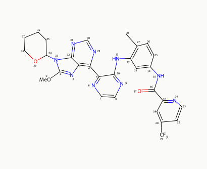 COc1nc2c(-c3nccnc3Nc3cc(NC(=O)c4cc(C(F)(F)F)ccn4)ccc3C)ncnc2n1C1CCCCO1